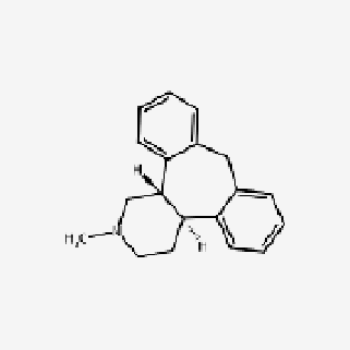 CN1CC[C@@H]2c3ccccc3Cc3ccccc3[C@H]2C1